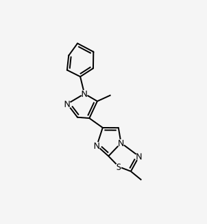 Cc1nn2cc(-c3cnn(-c4ccccc4)c3C)nc2s1